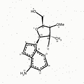 COC1[C@H](CO)O[C@H](n2cnc3c(N)ncnc32)[C@]1(C)F